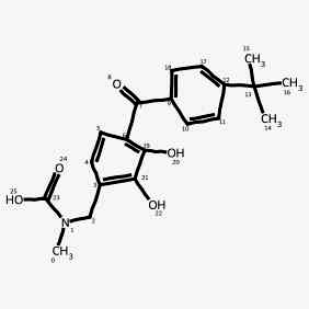 CN(Cc1ccc(C(=O)c2ccc(C(C)(C)C)cc2)c(O)c1O)C(=O)O